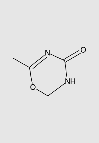 CC1=NC(=O)NCO1